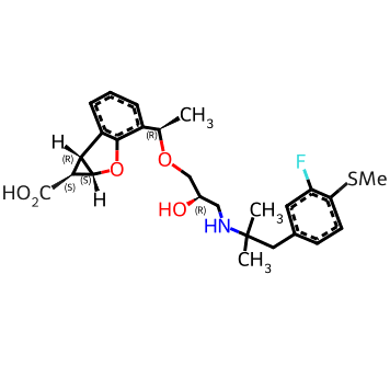 CSc1ccc(CC(C)(C)NC[C@@H](O)CO[C@H](C)c2cccc3c2O[C@@H]2[C@@H](C(=O)O)[C@H]32)cc1F